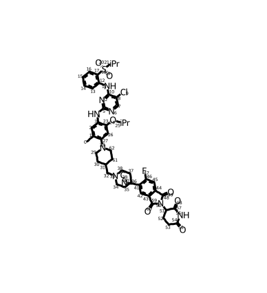 Cc1cc(Nc2ncc(Cl)c(Nc3ccccc3S(=O)(=O)C(C)C)n2)c(OC(C)C)cc1N1CCC(CN2CC3CCC2CN3c2cc3c(cc2F)C(=O)N(C2CCC(=O)NC2=O)C3=O)CC1